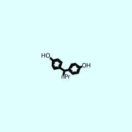 [CH2]CCC(c1ccc(O)cc1)c1ccc(O)cc1